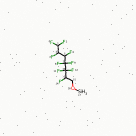 FC(F)C(F)C(F)C(F)(F)C(F)(F)C(F)CO[SiH3]